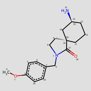 COc1ccc(CN2CC[C@]3(CCC[C@H](N)C3)C2=O)cc1